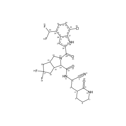 N#CC(CC1CCCNC1=O)NC(=O)C1C2CC(F)(F)CC2CN1C(=O)c1cc2c(C(F)F)ccc(Cl)c2[nH]1